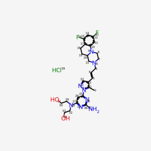 Cc1c(/C=C/CN2CCN3c4cc(F)cc(F)c4CCC3C2)cnn1-c1cc(N(CCO)CCO)nc(N)n1.Cl